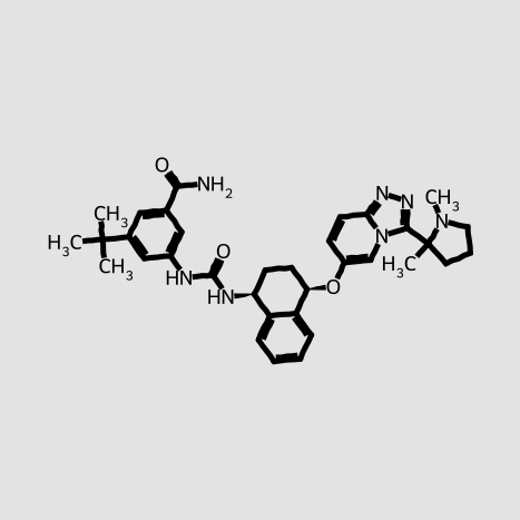 CN1CCCC1(C)c1nnc2ccc(O[C@@H]3CC[C@H](NC(=O)Nc4cc(C(N)=O)cc(C(C)(C)C)c4)c4ccccc43)cn12